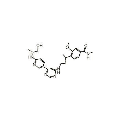 CNC(=O)c1ccc(C(C)CCNc2cc(-c3ccc(N[C@@H](C)CO)nc3)ncn2)c(OC)c1